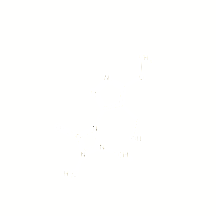 COc1noc(-n2c(=O)n(C)n2C)c1CO